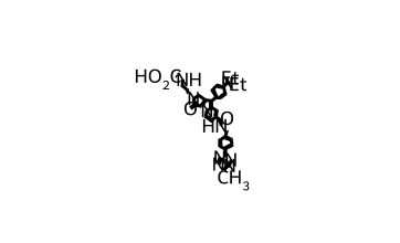 CCN(CC)c1ccc(-c2c3c(n4ccc(C(=O)NCc5ccc(-c6nnc(C)nn6)cc5)cc24)C(=O)N(CCCNC(=O)O)C3)cc1